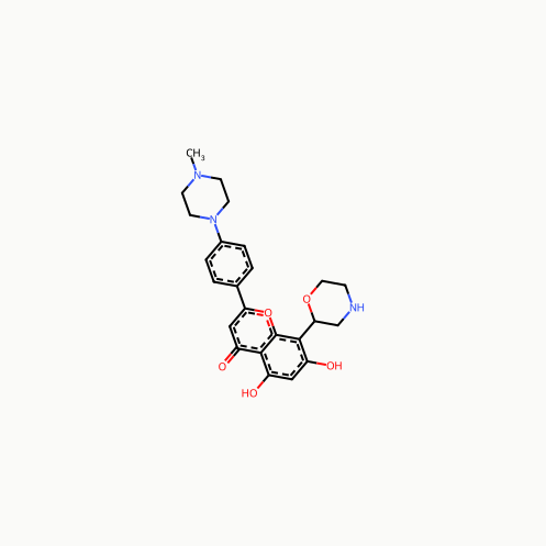 CN1CCN(c2ccc(-c3cc(=O)c4c(O)cc(O)c(C5CNCCO5)c4o3)cc2)CC1